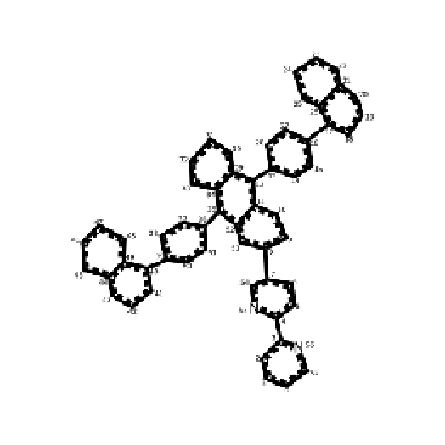 c1ccc(-c2ccc(-c3ccc4c(-c5ccc(-c6cccc7ccccc67)cc5)c5ccccc5c(-c5ccc(-c6cccc7ccccc67)cc5)c4c3)cn2)nc1